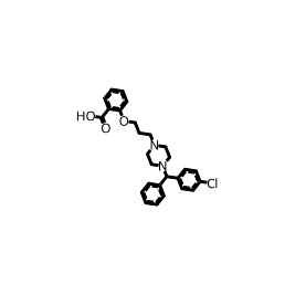 O=C(O)c1ccccc1OCCCN1CCN(C(c2ccccc2)c2ccc(Cl)cc2)CC1